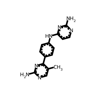 Cc1cnc(N)nc1-c1ccc(Nc2ccnc(N)n2)cc1